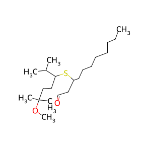 CCCCCCCCC(CC=O)SC(CCC(C)(C)OC)C(C)C